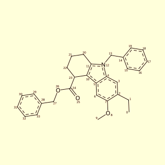 CCc1cc2c(cc1OC)c1c(n2Cc2ccccc2)CCCC1C(=O)OCc1ccccc1